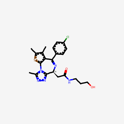 Cc1sc2c(c1C)C(c1ccc(Cl)cc1)=N[C@@H](CC(=O)NCCCO)c1nnc(C)n1-2